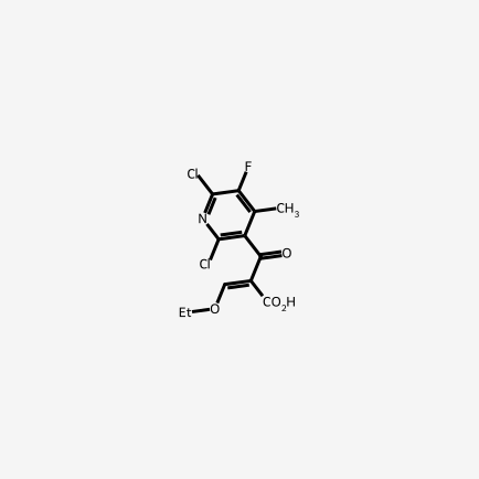 CCOC=C(C(=O)O)C(=O)c1c(Cl)nc(Cl)c(F)c1C